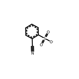 N#Cc1ccccc1S([O])(=O)=O